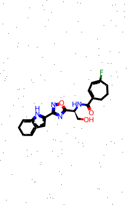 O=C(N[C@@H](CO)c1nc(-c2cc3c([nH]2)=CCCC=3)no1)C1=CC=C(F)CCC1